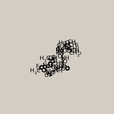 CC[C@@]1(O)C(=O)OCc2c1cc1n(c2=O)Cc2c-1nc1cc(F)c(C)c3c1c2[C@@H](NC(=O)C1(COCNC(=O)CNC(=O)[C@H](Cc2ccccc2)NC(=O)CNC(=O)CNC(=O)[C@H](CN(CC(=O)OC(C)(C)C)C(=O)OC(C)(C)C)N2C(=O)C=CC2=O)CC1)CC3